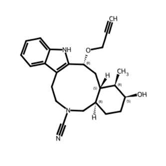 C#CCO[C@@H]1C[C@H]2[C@@H](CC[C@H](O)[C@@H]2C)CN(C#N)CCc2c1[nH]c1ccccc21